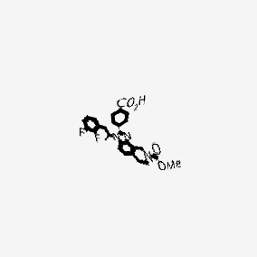 COC(=O)N1CCc2ccc3c(nc([C@H]4CC[C@H](C(=O)O)CC4)n3[C@@H](C)Cc3cccc(F)c3F)c2C1